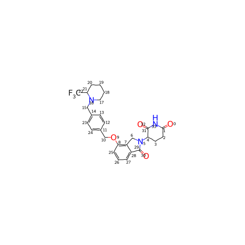 O=C1CCC(N2Cc3c(OCc4ccc(CN5CCCCC5C(F)(F)F)cc4)cccc3C2=O)C(=O)N1